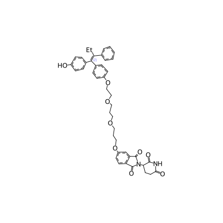 CC/C(=C(\c1ccc(O)cc1)c1ccc(OCCOCCCOCCCOc2ccc3c(c2)C(=O)N(C2CCC(=O)NC2=O)C3=O)cc1)c1ccccc1